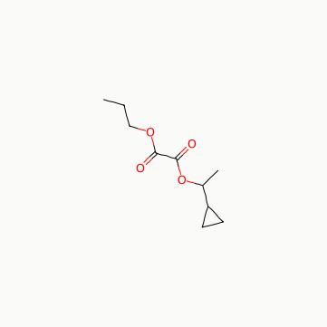 CCCOC(=O)C(=O)OC(C)C1CC1